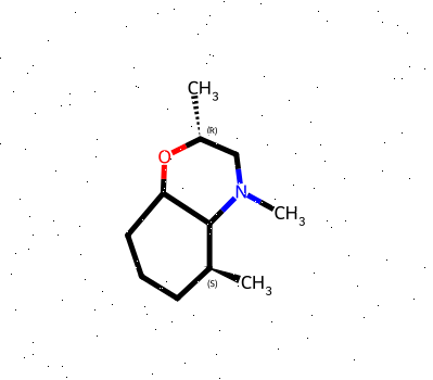 C[C@@H]1CN(C)C2C(CCC[C@@H]2C)O1